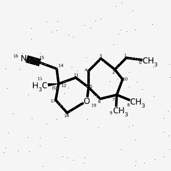 CCC1CCC2(CC(C)(C)C1)C[C@@](C)(CC#N)CCO2